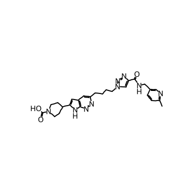 Cc1ccc(CNC(=O)c2cn(CCCCc3cc4cc(C5CCN(C(=O)O)CC5)[nH]c4nn3)nn2)cn1